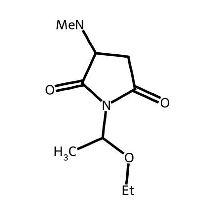 CCOC(C)N1C(=O)CC(NC)C1=O